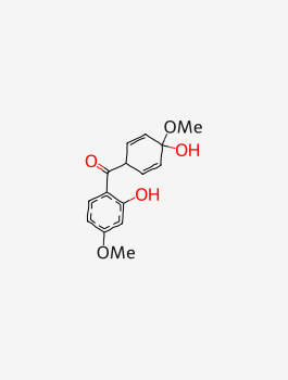 COc1ccc(C(=O)C2C=CC(O)(OC)C=C2)c(O)c1